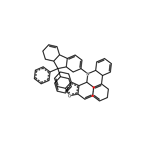 C1=CCCC(C2C=CC=CC2N(C2=CC=C3C4C=CCCC4C(c4ccccc4)(C4C=CC=CC4)C3C2)C2CC=Cc3oc4c(c32)CCC=C4)=C1